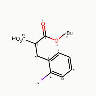 CCC(C)OC(=O)C(Cc1ccccc1I)C(=O)O